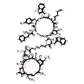 COc1cc2cc(c1Cl)N(C)C(=O)[C@H](OC(=O)[C@H](C)N(C)C(=O)CCSSCCNC(=O)[C@H](Cc1c[nH]c3ccccc13)NC(=O)[C@@H]1CSSC[C@H](NC(=O)[C@H](N)Cc3ccccc3)C(=O)N[C@@H](Cc3ccc(O)cc3)CN[C@H](Cc3c[nH]c4ccccc34)C(=O)N[C@@H](CCCCN)C(=O)N[C@@H]([C@@H](C)O)C(=O)N1)[C@]1(C)O[C@H]1[C@H](C)[C@@H]1C[C@@](O)(NC(=O)O1)[C@H](OC)/C=C/C=C(\C)C2